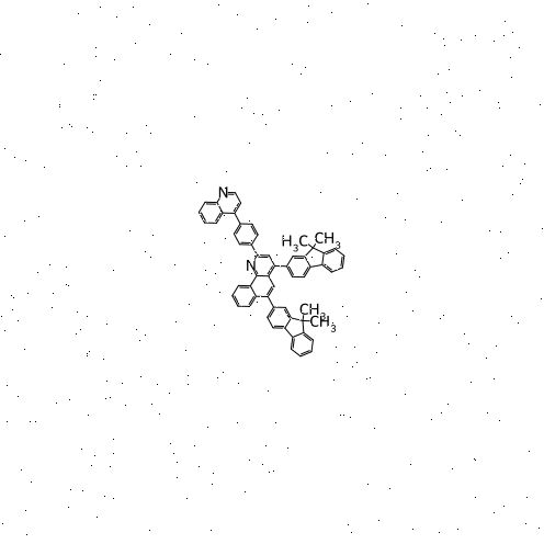 CC1(C)c2ccccc2-c2ccc(-c3cc4c(-c5ccc6c(c5)C(C)(C)c5ccccc5-6)cc(-c5ccc(-c6ccnc7ccccc67)cc5)nc4c4ccccc34)cc21